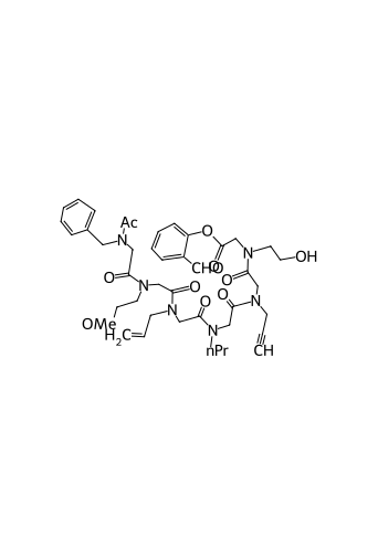 C#CCN(CC(=O)N(CCO)CC(=O)Oc1ccccc1C=O)C(=O)CN(CCC)C(=O)CN(CC=C)C(=O)CN(CCOC)C(=O)CN(Cc1ccccc1)C(C)=O